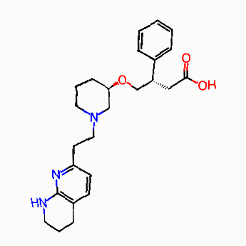 O=C(O)C[C@H](CO[C@@H]1CCCN(CCc2ccc3c(n2)NCCC3)C1)c1ccccc1